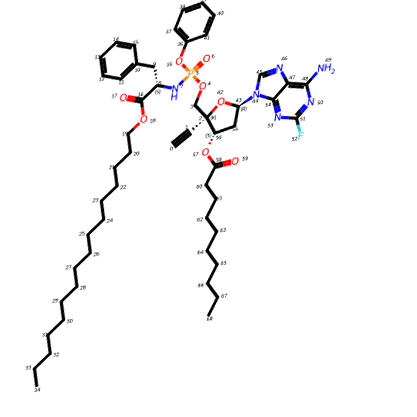 C#C[C@]1(COP(=O)(N[C@@H](Cc2ccccc2)C(=O)OCCCCCCCCCCCCCCCC)Oc2ccccc2)O[C@@H](n2cnc3c(N)nc(F)nc32)C[C@@H]1OC(=O)CCCCCCCCC